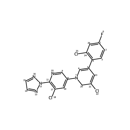 Fc1ccc(C2=CN(c3cnc(-n4nccn4)c(Cl)c3)CC(Cl)=C2)c(Cl)c1